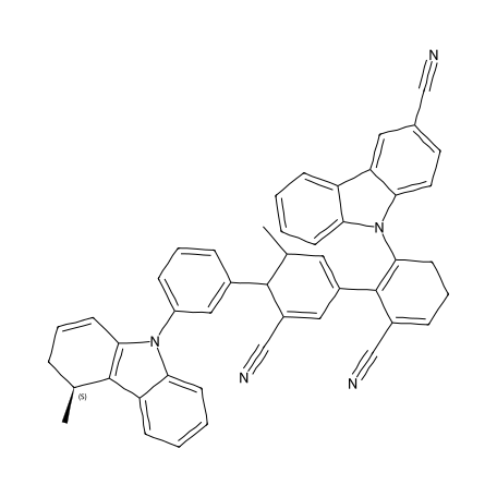 CC1C=C(C2=C(n3c4ccccc4c4cc(C#N)ccc43)CCC=C2C#N)C=C(C#N)C1c1cccc(-n2c3c(c4ccccc42)[C@@H](C)CC=C3)c1